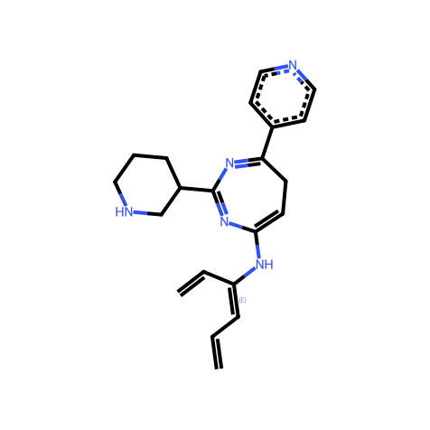 C=C/C=C(\C=C)NC1=CCC(c2ccncc2)=NC(C2CCCNC2)=N1